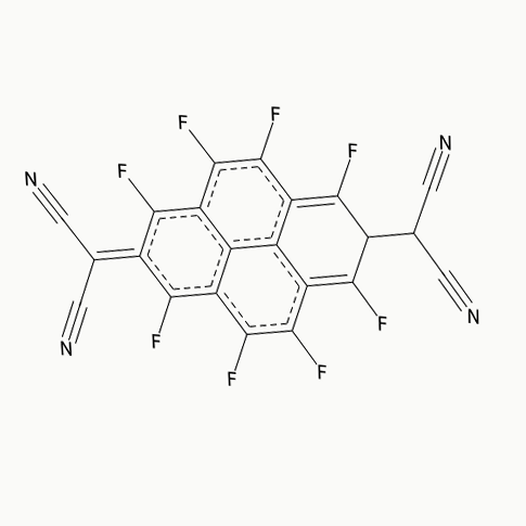 N#CC(C#N)=c1c(F)c2c(F)c(F)c3c4c(c(F)c(F)c(c1F)c24)=C(F)C(C(C#N)C#N)C=3F